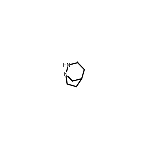 [CH]1CC2CCN(C2)N1